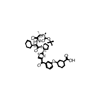 C[C@@H](C(=O)N[C@H](C(=O)N1CCC[C@H]1c1nc(C(=O)c2cccc(OC3CCCC(C(=O)O)C3)c2)cs1)C1CCCCC1)N(C)C(=O)OC(C)(C)C